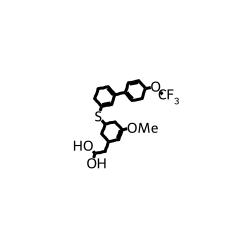 COC1=CC(CC(O)O)CC(SC2=CC(C3=CCC(OC(F)(F)F)C=C3)=CCC2)C1